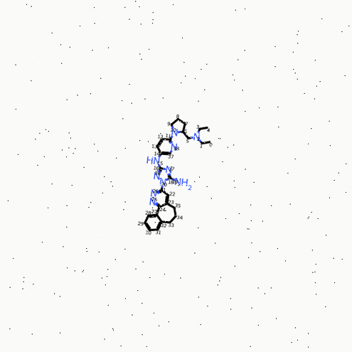 CCN(CC)CC1CCCN1c1ccc(Nc2nc(N)n(-c3cc4c(nn3)-c3ccccc3CCC4)n2)cn1